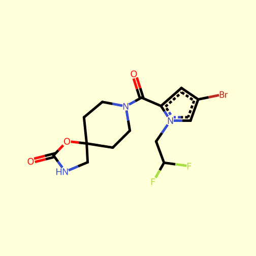 O=C1NCC2(CCN(C(=O)c3cc(Br)cn3CC(F)F)CC2)O1